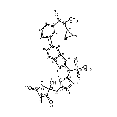 CN(C(=O)c1cccc(-c2ccc3nc(C(c4nnc(CC5(C)NC(=O)NC5=O)o4)S(C)(=O)=O)sc3c2)c1)C1CC1